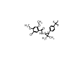 COc1cc(OC)c(C(=O)N[C@@H]2[C@@H](c3ccc(C(F)(F)F)cc3)C2(C)C)cc1Cl